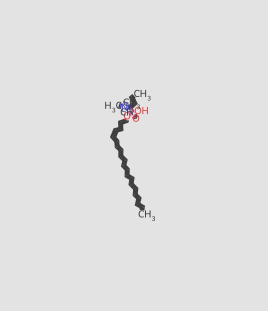 CCCCCCCCCCCCCCCC/C=C\CCCOP(=O)(O)C(CCC)[N+](C)(C)C